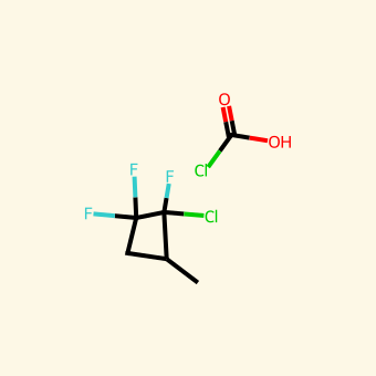 CC1CC(F)(F)C1(F)Cl.O=C(O)Cl